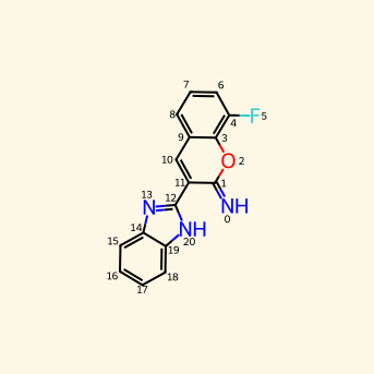 N=c1oc2c(F)cccc2cc1-c1nc2ccccc2[nH]1